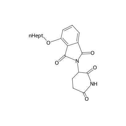 CCCCCCCOc1cccc2c1C(=O)N(C1CCC(=O)NC1=O)C2=O